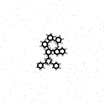 c1ccc(-c2nc(-c3ccccc3)nc(-c3ccc4c(c3)-c3ccc5ccccc5c3Sc3ccccc3-c3ccccc3-c3ccccc3-4)n2)cc1